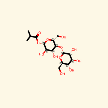 CC(C)C(=O)O[C@@H]1O[C@H](CO)[C@@H](O[C@H]2O[C@H](CO)[C@@H](O)[C@H](O)[C@H]2O)[C@H](O)[C@H]1O